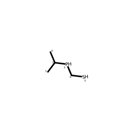 CC(C)PCS